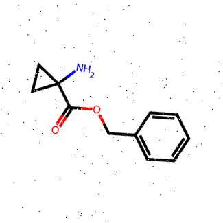 NC1(C(=O)OCc2ccccc2)CC1